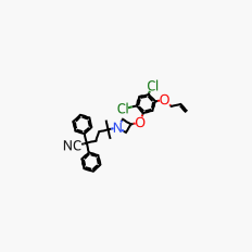 C=CCOc1cc(OC2CN(C(C)(C)CCC(C#N)(c3ccccc3)c3ccccc3)C2)c(Cl)cc1Cl